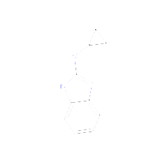 c1ccc2[nH]c(NC3CC3)nc2c1